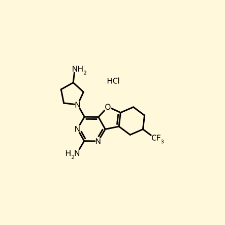 Cl.Nc1nc(N2CCC(N)C2)c2oc3c(c2n1)CC(C(F)(F)F)CC3